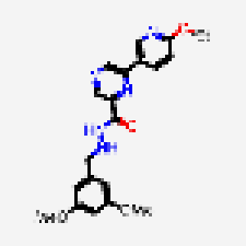 CCOc1ccc(-c2cncc(C(=O)NNCc3cc(OC)cc(OC)c3)n2)cn1